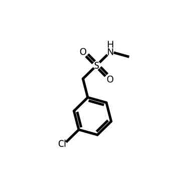 CNS(=O)(=O)Cc1cccc(Cl)c1